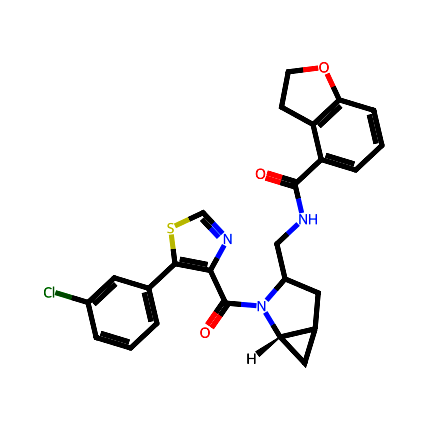 O=C(NCC1CC2C[C@@H]2N1C(=O)c1ncsc1-c1cccc(Cl)c1)c1cccc2c1CCO2